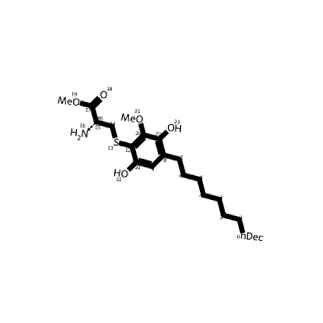 CCCCCCCCCCCCCCCCCc1cc(O)c(SC[C@H](N)C(=O)OC)c(OC)c1O